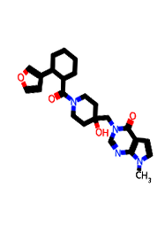 Cn1ccc2c(=O)n(CC3(O)CCN(C(=O)C4CCCCC4c4ccoc4)CC3)cnc21